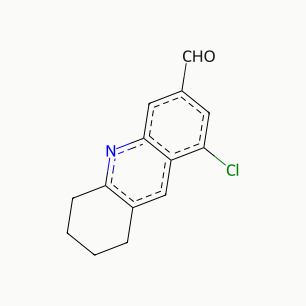 O=Cc1cc(Cl)c2cc3c(nc2c1)CCCC3